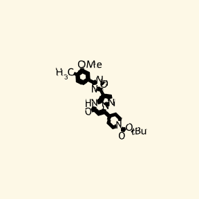 COc1cc(-c2noc(-c3cnn4c(C5CCN(C(=O)OC(C)(C)C)CC5)cc(=O)[nH]c34)n2)ccc1C